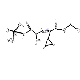 CCOC(=O)/C(=N/N(C)C(=O)OC(C)(C)C)C1CC1